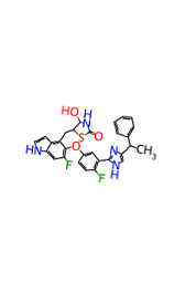 CC(c1ccccc1)c1c[nH]c(-c2cc(Oc3c(F)cc4[nH]ccc4c3CC3SC(=O)NC3O)ccc2F)n1